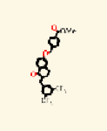 COC(=O)c1ccc(COc2ccc3c(c2)CC/C(=C\c2cc(C(F)(F)F)cc(C(F)(F)F)c2)C3=O)cc1